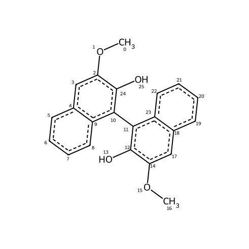 COc1cc2ccccc2c(-c2c(O)c(OC)cc3ccccc23)c1O